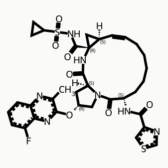 Cc1nc2cccc(F)c2nc1O[C@@H]1C[C@H]2C(=O)N[C@]3(C(=O)NS(=O)(=O)C4CC4)C[C@H]3C=CCCCCC[C@H](NC(=O)c3cscn3)C(=O)N2C1